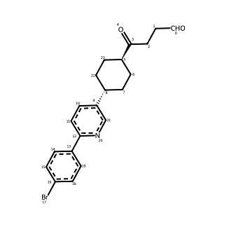 O=CCCC(=O)[C@H]1CC[C@H](c2ccc(-c3ccc(Br)cc3)nc2)CC1